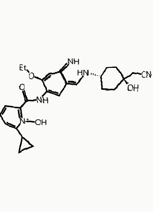 CCOC1=CC(=N)/C(=C\N[C@H]2CC[C@@](O)(CC#N)CC2)C=C1NC(=O)c1cccc(C2CC2)[n+]1O